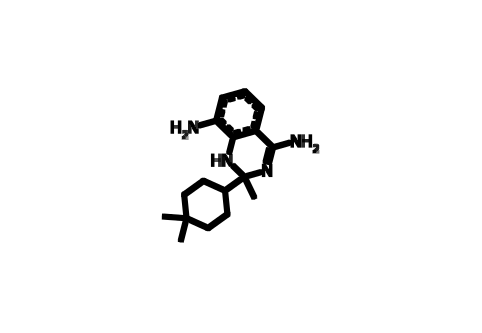 CC1(C)CCC(C2(C)N=C(N)c3cccc(N)c3N2)CC1